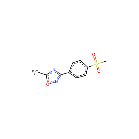 CS(=O)(=O)c1ccc(-c2noc(C(F)(F)F)n2)cc1